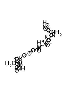 C=C1c2cccc(NCCOCCOCCOCCC(=O)NCCCN(C3CC3)[S+]([O-])c3ccc(-c4cnc(N)c(-c5ccc6c(c5)CCNC6=O)c4)c(F)c3)c2C(=O)N1C1CCC(=O)NC1=O